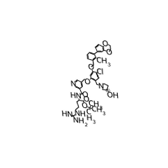 Cc1c(COc2cc(OCc3cncc(C(=O)NC(CCCNC(=N)N)C(=O)OC(C)(C)C)c3)c(CN3CC[C@H](O)C3)cc2Cl)cccc1-c1ccc2c(c1)OCCO2